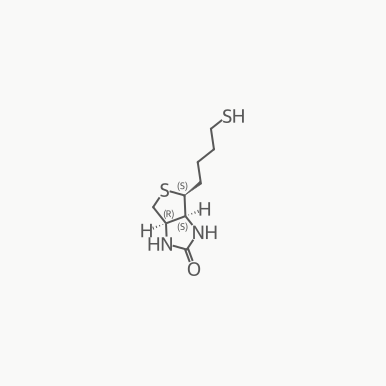 O=C1N[C@H]2[C@H](CS[C@H]2CCCCS)N1